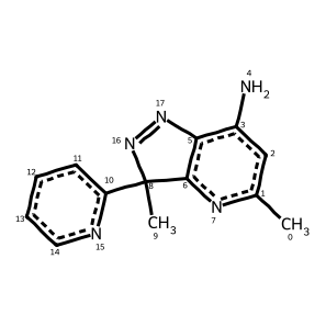 Cc1cc(N)c2c(n1)C(C)(c1ccccn1)N=N2